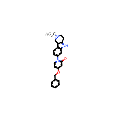 O=C(O)N1CCc2[nH]c3cc(-n4ccc(OCc5ccccc5)cc4=O)ccc3c2C1